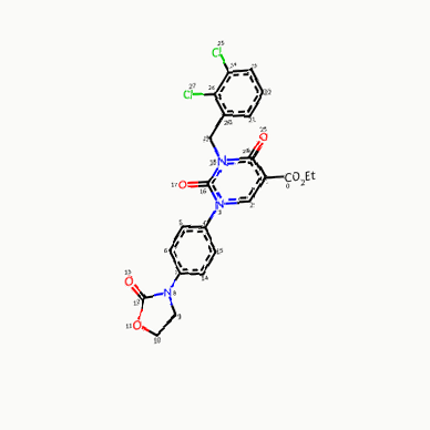 CCOC(=O)c1cn(-c2ccc(N3CCOC3=O)cc2)c(=O)n(Cc2cccc(Cl)c2Cl)c1=O